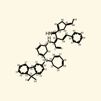 C=C/C(NC1C=CC=C(N(c2ccc3c(c2)-c2ccccc2C3(C)C)C2C=CC=CCC2)C1)=C(\C=C\c1ccccc1)C(=N)C1=CC/C(=C\C)C1